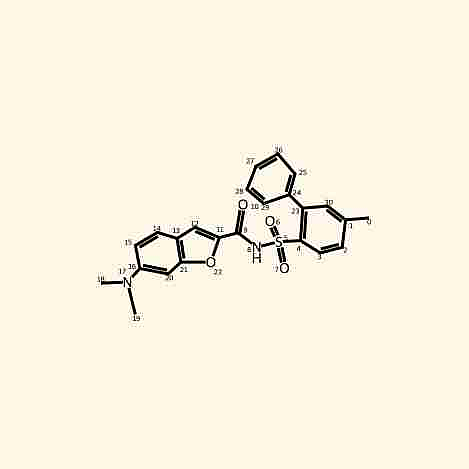 Cc1ccc(S(=O)(=O)NC(=O)c2cc3ccc(N(C)C)cc3o2)c(-c2ccccc2)c1